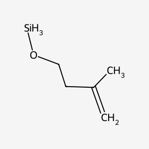 C=C(C)CCO[SiH3]